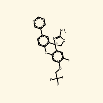 NC1=N[C@@]2(CO1)c1cc(-c3cncnc3)ccc1Oc1cc(OCC(F)(F)F)c(F)cc12